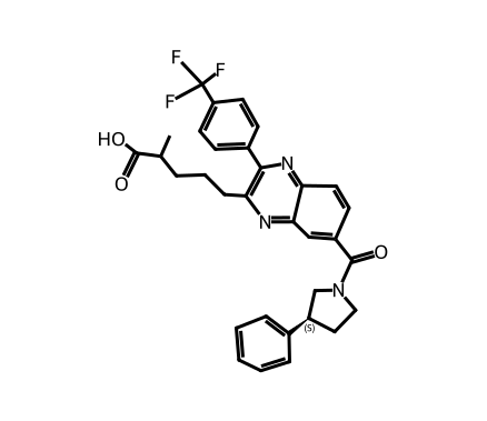 CC(CCCc1nc2cc(C(=O)N3CC[C@@H](c4ccccc4)C3)ccc2nc1-c1ccc(C(F)(F)F)cc1)C(=O)O